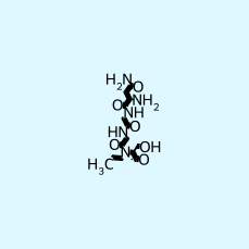 CCCN(C(=O)CNC(=O)CNC(=O)[C@@H](N)CC(N)=O)[C@H]([C]=O)CO